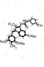 COc1ccc2c(c1)C(CC(=O)NC1CCN(C)C1)=C(C)/C2=C/c1cc(OC)c(C)c(OC)c1